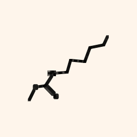 CCCCCCNC(=O)OC